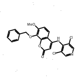 COc1ccc2c(Nc3c(Cl)cncc3Cl)cc(=O)oc2c1OCc1ccccc1